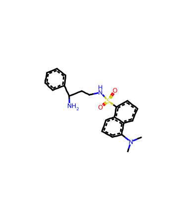 CN(C)c1cccc2c(S(=O)(=O)NCCC(N)c3ccccc3)cccc12